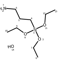 CCO[Si](CCCN)(OCC)OCC.[OH]